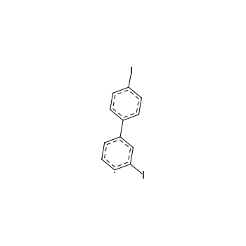 Ic1[c]ccc(-c2ccc(I)cc2)c1